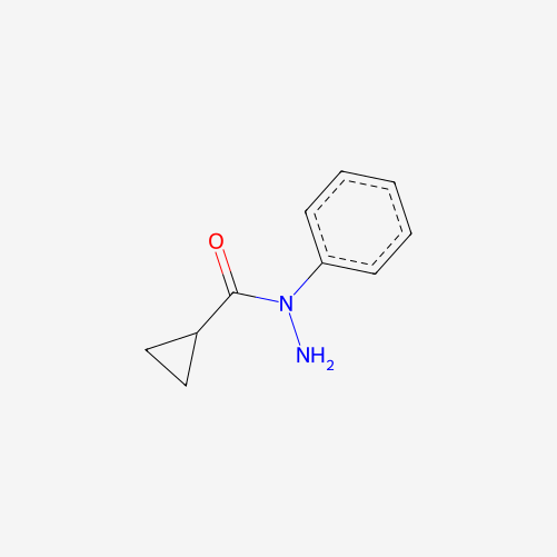 NN(C(=O)C1CC1)c1ccccc1